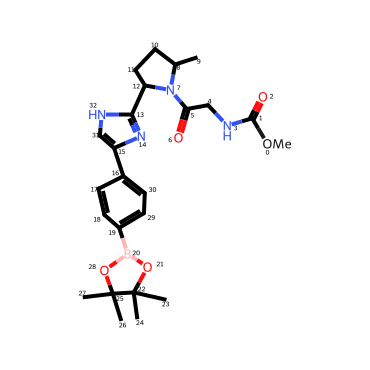 COC(=O)NCC(=O)N1C(C)CCC1c1nc(-c2ccc(B3OC(C)(C)C(C)(C)O3)cc2)c[nH]1